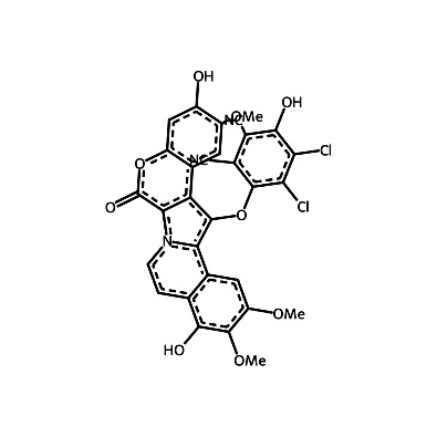 COc1cc2c(cc1O)oc(=O)c1c2c(Oc2c(Cl)c(Cl)c(O)c(C#N)c2C#N)c2c3cc(OC)c(OC)c(O)c3ccn21